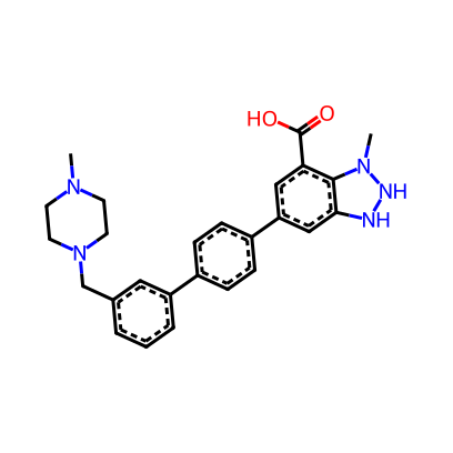 CN1CCN(Cc2cccc(-c3ccc(-c4cc5c(c(C(=O)O)c4)N(C)NN5)cc3)c2)CC1